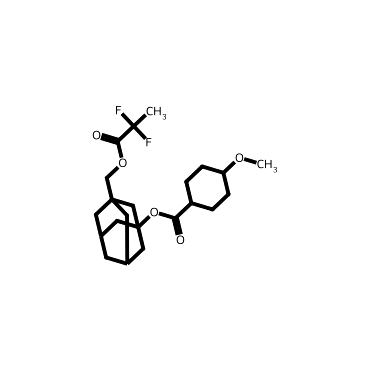 COC1CCC(C(=O)OC23CC4CC(CC(COC(=O)C(C)(F)F)(C4)C2)C3)CC1